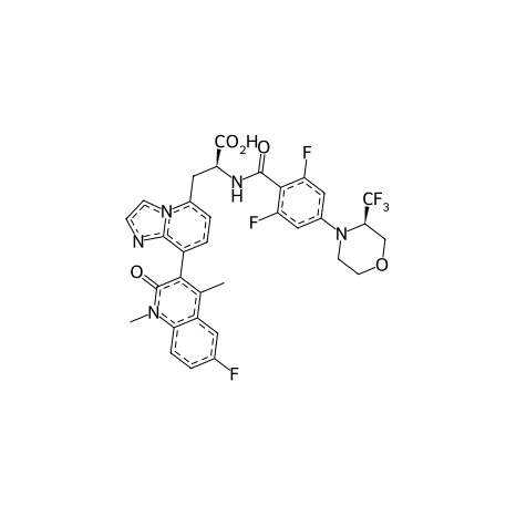 Cc1c(-c2ccc(C[C@H](NC(=O)c3c(F)cc(N4CCOC[C@@H]4C(F)(F)F)cc3F)C(=O)O)n3ccnc23)c(=O)n(C)c2ccc(F)cc12